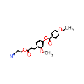 CCOc1ccc(C(=O)Oc2ccc(/C=C/C(=O)OCCC#N)c(OC)c2)cc1